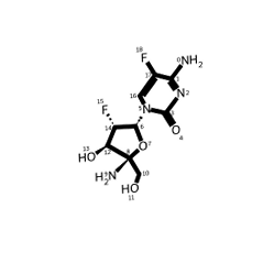 Nc1nc(=O)n([C@@H]2O[C@](N)(CO)[C@@H](O)[C@@H]2F)cc1F